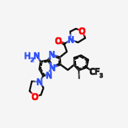 Cc1c(Cc2c(CC(=O)N3CCOCC3)nc3c(N)cc(N4CCOCC4)nn23)cccc1C(F)(F)F